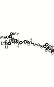 CCC(=O)Nc1ccc(CN2C(=O)N(c3cc(OC)cc(OC)c3)Cc3cnc(Nc4ccc(N5CCN(CC(=O)NCCOCCOCCOc6cc7c8c(cccc8c6)C(O)N(C6CCC(=O)NC6=O)C7=O)CC5)cc4)nc32)cc1